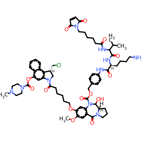 COc1cc2c(cc1OCCCCCC(=O)N1C[C@@H](CCl)c3c1cc(OC(=O)N1CCN(C)CC1)c1ccccc31)N(C(=O)OCc1ccc(NC(=O)[C@H](CCCCN)NC(=O)C(NC(=O)CCCCCN3C(=O)C=CC3=O)C(C)C)cc1)C(O)[C@@H]1CCCN1C2=O